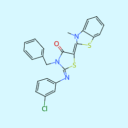 CN1C(=C2SC(=Nc3cccc(Cl)c3)N(Cc3ccccc3)C2=O)Sc2ccccc21